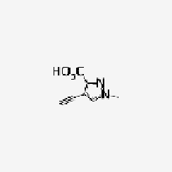 C#Cc1cn(C)nc1C(=O)O